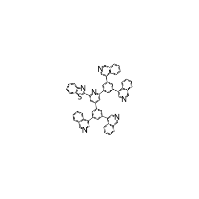 c1ccc2c(-c3cc(-c4cc(-c5cc(-c6cncc7ccccc67)cc(-c6cncc7ccccc67)c5)nc(-c5nc6ccccc6s5)c4)cc(-c4cncc5ccccc45)c3)cncc2c1